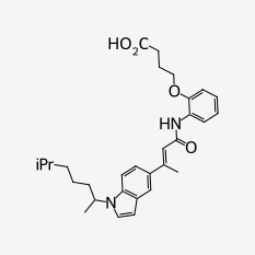 CC(=CC(=O)Nc1ccccc1OCCCC(=O)O)c1ccc2c(ccn2C(C)CCCC(C)C)c1